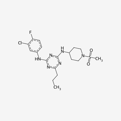 CCCc1nc(Nc2ccc(F)c(Cl)c2)nc(NC2CCN(S(C)(=O)=O)CC2)n1